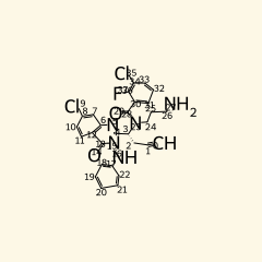 C#CC[C@H](c1nc2cc(Cl)ccc2c(=O)n1Nc1ccccc1)N(CCCN)C(=O)c1cccc(Cl)c1F